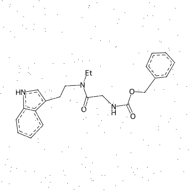 CCN(CCc1c[nH]c2ccccc12)C(=O)CNC(=O)OCc1ccccc1